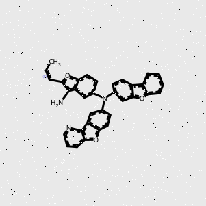 C/C=C\c1oc2ccc(N(c3ccc4c(c3)oc3ccccc34)c3ccc4oc5cccnc5c4c3)cc2c1N